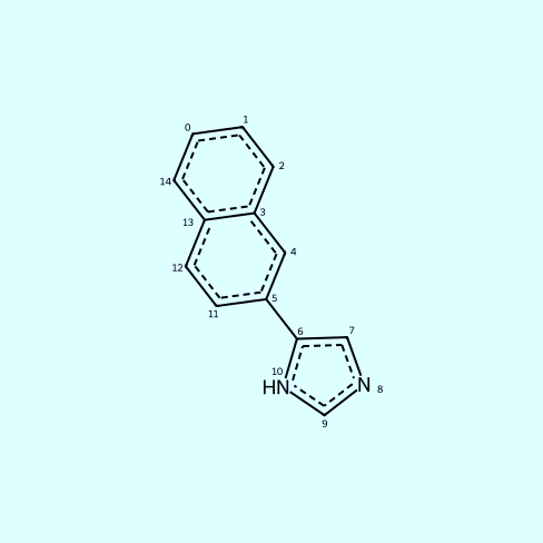 c1ccc2cc(-c3cnc[nH]3)ccc2c1